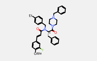 CCc1ccc(CN(C(=O)C=Cc2ccc(OC)c(F)c2)[C@@H](Cc2ccccc2)C(=O)N2CCN(Cc3ccccc3)CC2)cc1